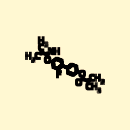 C=C(C)C(=N)Oc1ccc(-c2ccc(OC(=O)C(=C)C)cc2)c(F)c1